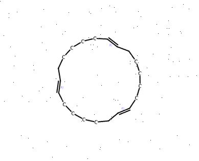 C1=C/CCCCC/C=C/CCCCC/C=C/CCCCC/1